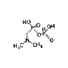 CN(C)CP(=O)(O)O[PH](=O)O